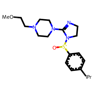 COCCN1CCN(C2=NCCN2[S+]([O-])c2ccc(C(C)C)cc2)CC1